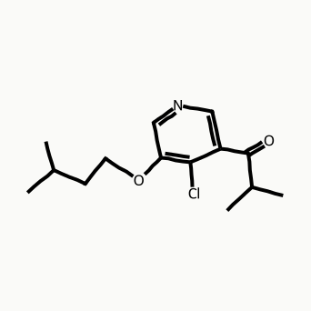 CC(C)CCOc1cncc(C(=O)C(C)C)c1Cl